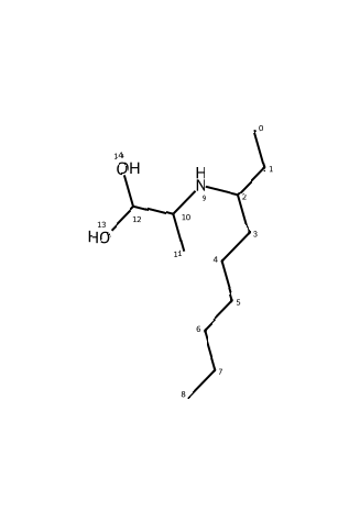 C[CH]C(CCCCCC)NC(C)C(O)O